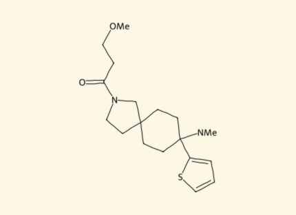 CNC1(c2cccs2)CCC2(CCN(C(=O)CCOC)C2)CC1